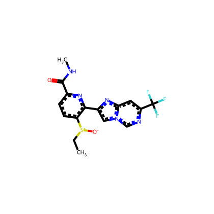 CC[S+]([O-])c1ccc(C(=O)NC)nc1-c1cn2cnc(C(F)(F)F)cc2n1